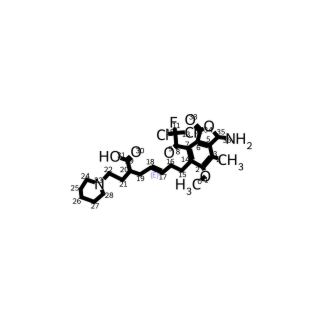 COc1c(C)c2c(c(C(=O)C(F)(Cl)Cl)c1CC/C=C/CC(CCN1CCCCC1)C(=O)O)C(=O)OC2N